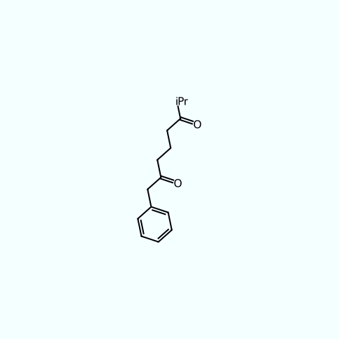 CC(C)C(=O)CCCC(=O)Cc1ccccc1